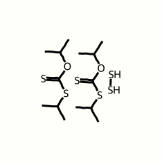 CC(C)OC(=S)SC(C)C.CC(C)OC(=S)SC(C)C.SS